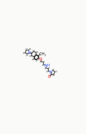 Cc1c(OCCCNCCCN2CCCC2=O)ccc2c1CCC(N1CCCC1)C2